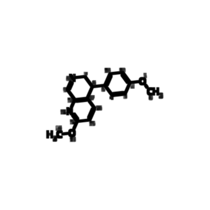 COc1ccc(C2CN=Cc3nc(OC)ccc32)cc1